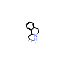 CCC1NCCc2c[c]ccc21